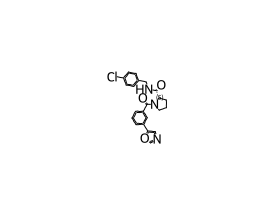 O=C(NCc1ccc(Cl)cc1)[C@@H]1CCCN1C(=O)c1cccc(-c2cnco2)c1